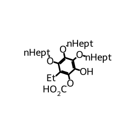 CCCCCCCOc1c(O)c(OC(=O)O)c(CC)c(OCCCCCCC)c1OCCCCCCC